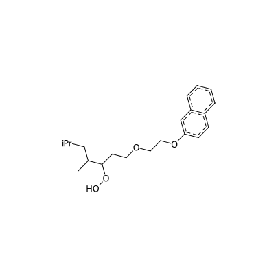 CC(C)CC(C)C(CCOCCOc1ccc2ccccc2c1)OO